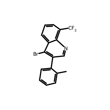 Cc1ccccc1-c1cnc2c(C(F)(F)F)cccc2c1Br